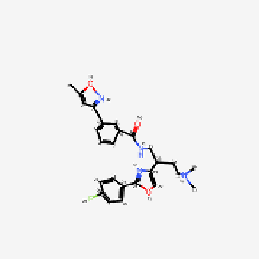 Cc1cc(-c2cccc(C(=O)NCC(CCN(C)C)c3coc(-c4ccc(F)cc4)n3)c2)no1